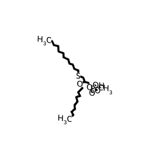 CCCCCCCCCCCCSCC(COP(=O)(O)OC)OCCCCCCCCCC